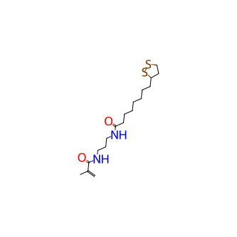 C=C(C)C(=O)NCCCNC(=O)CCCCCCCC1CCSS1